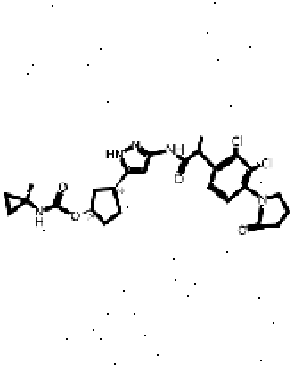 CC(C(=O)Nc1cc([C@H]2CC[C@H](OC(=O)NC3(C)CC3)C2)[nH]n1)c1ccc(N2CCCC2=O)c(Cl)c1Cl